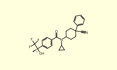 C[C@](O)(c1ccc(C(=O)N(C2CC2)C2CCC(C#N)(c3ccccc3)CC2)cc1)C(F)(F)F